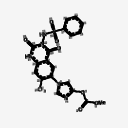 COC(=O)Oc1cn(-c2cc3c(=O)n(NS(=O)(=O)c4ccccc4)c(=O)[nH]c3cc2C(F)(F)F)cn1